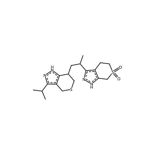 CC(C)c1n[nH]c2c1CSCC2CC(C)c1n[nH]c2c1CCS(=O)(=O)C2